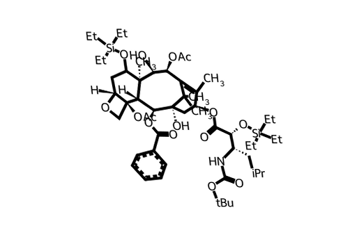 CC[Si](CC)(CC)OC1C[C@H]2OC[C@@]2(OC(C)=O)[C@H]2[C@H](OC(=O)c3ccccc3)[C@]3(O)C[C@H](OC(=O)[C@H](O[Si](CC)(CC)CC)[C@H](CC(C)C)NC(=O)OC(C)(C)C)C(C)=C([C@H](OC(C)=O)[C@H](O)[C@]12C)C3(C)C